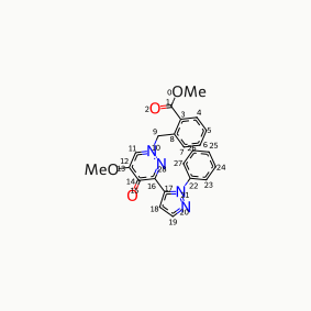 COC(=O)c1ccccc1Cn1cc(OC)c(=O)c(-c2ccnn2-c2ccccc2)n1